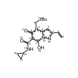 C=Cc1cc2n(CC(C)(C)C)c(=O)c(C(=O)NC3CC3)c(O)n2n1